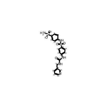 NS(=O)(=O)c1ccc(NS(=O)(=O)c2ccc(NC(=O)NCc3cccnc3)cc2)cc1